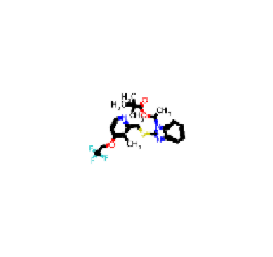 Cc1c(OCC(F)(F)F)ccnc1CSc1nc2ccccc2n1C(C)OC(=O)C(C)(C)C